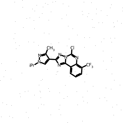 Cc1nn(C(C)C)cc1-c1nc2c3cccc(C(F)(F)F)c3nc(Cl)n2n1